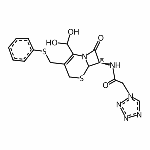 O=C(Cn1cnnn1)N[C@@H]1C(=O)N2C(C(O)O)=C(CSc3ccccc3)CSC12